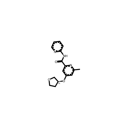 Cc1cc(O[C@H]2CCOC2)cc(C(=O)Nc2ccccn2)n1